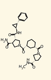 CNC(=O)[C@H]1CCN(C(=O)[C@H]2CCC[C@@H](C(=O)N3C[C@@H](C(N)=O)[C@H](C(=O)N[C@H]4C[C@@H]4c4ccccc4)C3)C2)C1